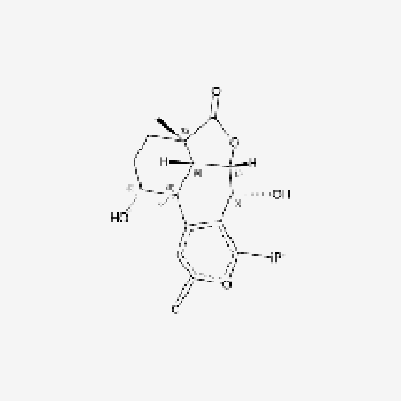 CC(C)c1oc(=O)cc2c1[C@@H](O)[C@H]1OC(=O)[C@@]3(C)CC[C@@H](O)[C@@]2(C)[C@@H]13